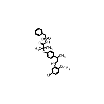 COc1ccc(Cl)cc1NCC(C)c1ccc(OC(C)(C)C(=O)NS(=O)(=O)Cc2ccccc2)cc1